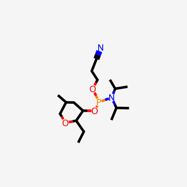 CCC1OCC(C)CC1OP(OCCC#N)N(C(C)C)C(C)C